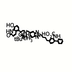 CC(C)(C)[Si](C)(C)OC(CNCc1ccc2nn(CCCCc3ccc(-c4ccccc4)c(NC(=O)O)c3)nc2c1)c1ccc(O)c2[nH]c(=O)ccc12